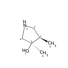 C[C@@H]1CNC[C@]1(C)O